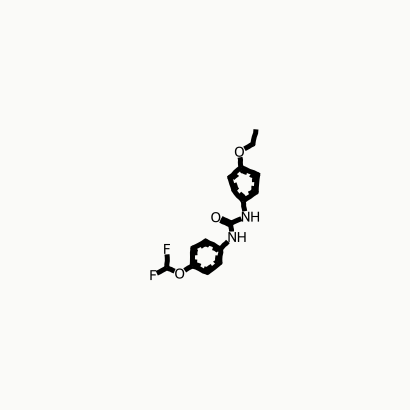 CCOc1ccc(NC(=O)Nc2ccc(OC(F)F)cc2)cc1